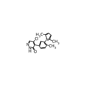 Cc1ccc(-c2c(Cl)cn[nH]c2=O)cc1-n1c(C)ccc1C